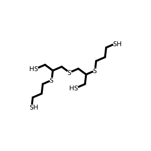 SCCCSC(CS)CSCC(CS)SCCCS